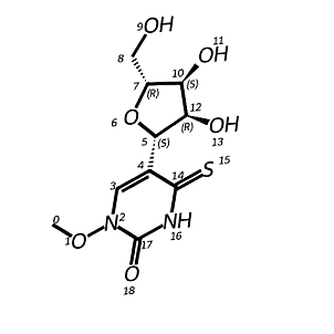 COn1cc([C@@H]2O[C@H](CO)[C@@H](O)[C@H]2O)c(=S)[nH]c1=O